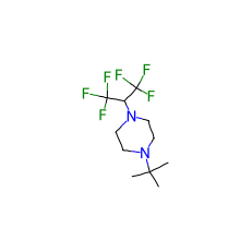 CC(C)(C)N1CCN(C(C(F)(F)F)C(F)(F)F)CC1